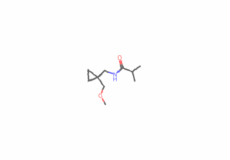 COCC1(CNC(=O)C(C)C)CC1